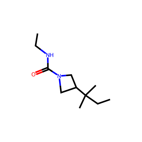 CCNC(=O)N1CC(C(C)(C)CC)C1